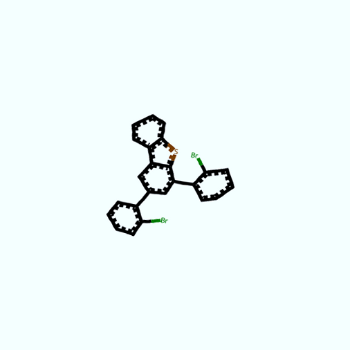 Brc1ccccc1-c1cc(-c2ccccc2Br)c2sc3ccccc3c2c1